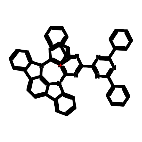 c1ccc(-c2nc(-c3ccccc3)nc(-c3nc(-c4ccccc4)nc(-n4c5ccccc5c5ccc6c7ccccc7n(-c7ccccc7)c6c54)n3)n2)cc1